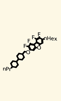 CCCCCCc1cc2oc3cc(OCC4CCC(C5CCC(CCC)CC5)CC4)c(F)c(F)c3c2c(F)c1F